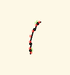 CCOc1ccc(OC/C=C/c2ccc(OCCCCCC(=O)CCCCCOc3ccc(/C=C/COc4ccc(OCC)c(F)c4F)cc3)cc2)c(F)c1F